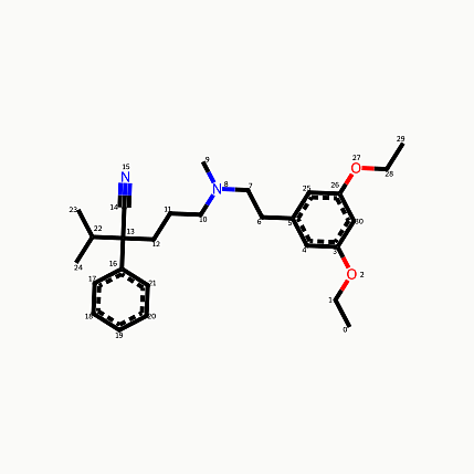 CCOc1cc(CCN(C)CCCC(C#N)(c2ccccc2)C(C)C)cc(OCC)c1